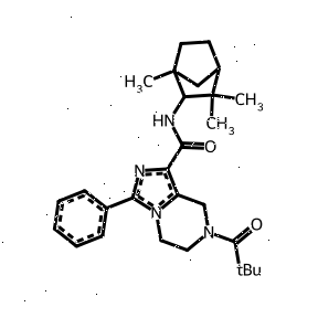 CC(C)(C)C(=O)N1CCn2c(-c3ccccc3)nc(C(=O)NC3C4(C)CCC(C4)C3(C)C)c2C1